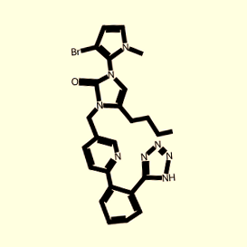 CCCCc1cn(-c2c(Br)ccn2C)c(=O)n1Cc1ccc(-c2ccccc2-c2nnn[nH]2)nc1